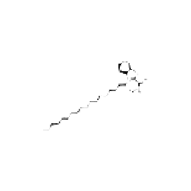 CCCCCCCCCCCCCCCCCCn1c(C(=O)N(C)NC)nc2ccccc21